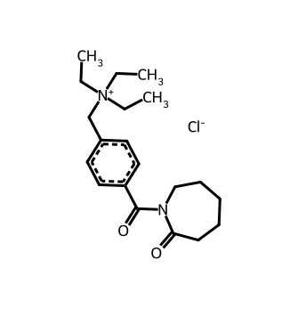 CC[N+](CC)(CC)Cc1ccc(C(=O)N2CCCCCC2=O)cc1.[Cl-]